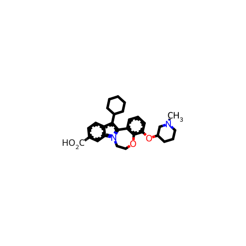 CN1CCCC(Oc2cccc3c2OCCn2c-3c(C3CCCCC3)c3ccc(C(=O)O)cc32)C1